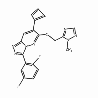 Cn1ncnc1COc1nn2c(-c3cc(F)ccc3F)nnc2cc1C1=CC=C1